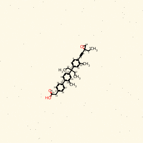 CCC1(C#Cc2ccc(C(CC)(CC)c3ccc(-c4ccc(CC(=O)O)cc4)c(C)c3)cc2C)CO1